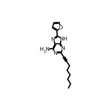 CCCCCCC#Cc1nc(N)c2nc(-c3ccco3)[nH]c2n1